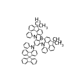 CC1(C)c2ccccc2-c2c1ccc1c2N(c2ccccc2)c2cc(N(c3ccccc3)c3cccc4c3-c3ccccc3C43c4ccccc4-c4ccccc43)cc3c2B1c1ccc2c(c1N3c1ccccc1)-c1ccccc1C2(C)C